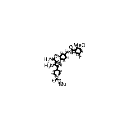 COc1ccc(F)cc1C(=O)NCc1ccc(-n2nc(C3CCN(C(=O)OC(C)(C)C)CC3)c(N)c2C(N)=O)cc1